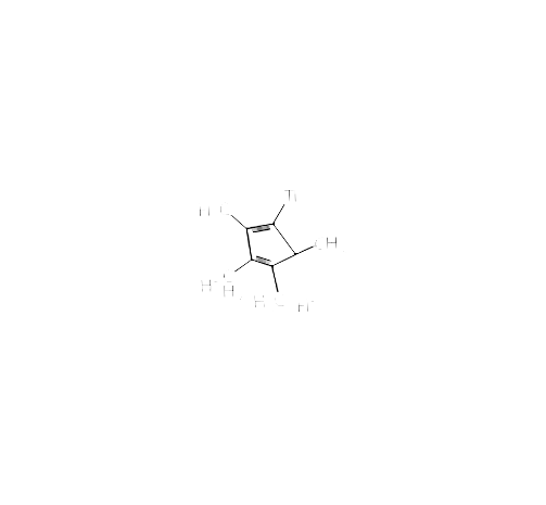 CC1=C(C)C(C)[C]([Ti])=C1C.[H-].[H-]